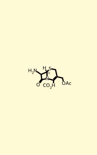 CC(=O)OCC1=C(C(=O)O)N2C(=O)C(N)[C@@H]2SC1